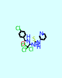 O=C(NC(NC(=S)Nc1cccnc1)C(Cl)(Cl)Cl)c1ccc(Cl)cc1